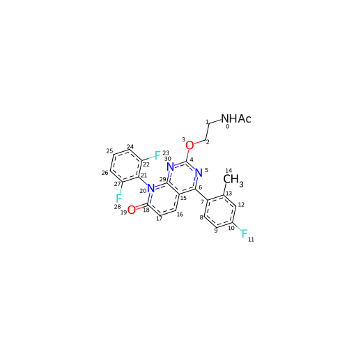 CC(=O)NCCOc1nc(-c2ccc(F)cc2C)c2ccc(=O)n(-c3c(F)cccc3F)c2n1